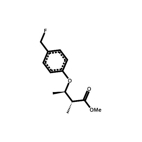 COC(=O)[C@H](C)[C@@H](C)Oc1ccc(CF)cc1